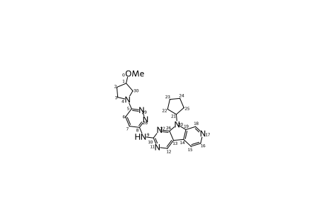 COC1CCN(c2ccc(Nc3ncc4c5ccncc5n(C5CCCC5)c4n3)nn2)C1